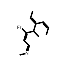 C/C=C\C(=C/C)C(C)/C(=C\C=N/C)CC